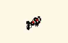 CN1CCN(Cc2cnn(-c3ccc(-c4cccn4C(=O)OC(C)(C)C)cc3)c2-c2ccccc2F)CC1